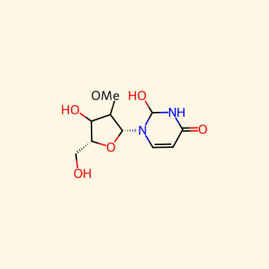 COC1C(O)[C@@H](CO)O[C@H]1N1C=CC(=O)NC1O